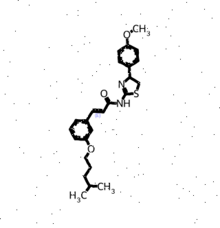 COc1ccc(C2CSC(NC(=O)/C=C/c3cccc(OCCCC(C)C)c3)=N2)cc1